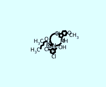 CCCC[C@H](C)C(=O)N(C)[C@H]1CCCCO[C@@H]2C[C@H](NC[C@@H](O)[C@H](Cc3cc(Cl)cc(Cl)c3)NC1=O)c1cc(OC)ccc12